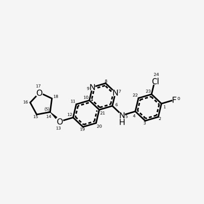 Fc1ccc(Nc2ncnc3cc(O[C@H]4CCOC4)ccc23)cc1Cl